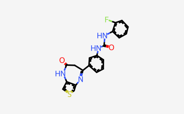 O=C1CC(c2cccc(NC(=O)Nc3ccccc3F)c2)=Nc2cscc2N1